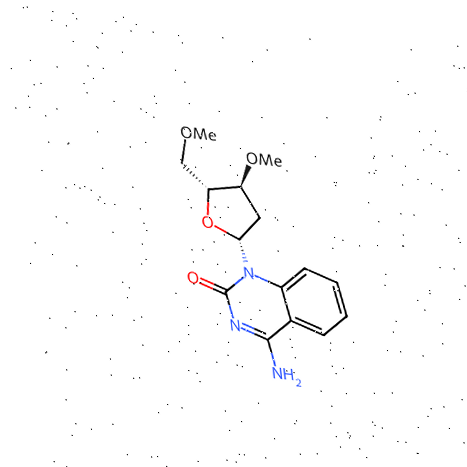 COC[C@H]1O[C@@H](n2c(=O)nc(N)c3ccccc32)C[C@@H]1OC